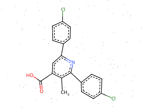 Cc1c(C(=O)O)cc(-c2ccc(Cl)cc2)nc1-c1ccc(Cl)cc1